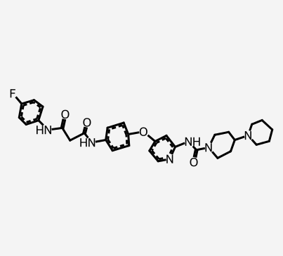 O=C(CC(=O)Nc1ccc(Oc2ccnc(NC(=O)N3CCC(N4CCCCC4)CC3)c2)cc1)Nc1ccc(F)cc1